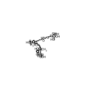 C=C(/C=C/C=C/C=C1/N(CCCCCC(=O)NCCOCCO[C@H]2O[C@H](CO)[C@@H](O)[C@H](O)[C@@H]2O)c2ccc(S(=O)(=O)O)cc2C1(C)C)C(C)(CCCCS(=O)(=O)O)c1cc(S(=O)(=O)O)ccc1C